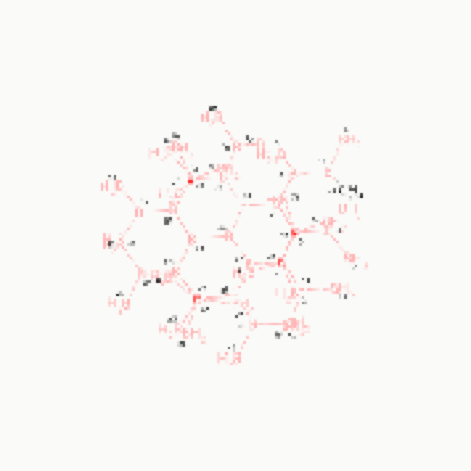 BB(B)B(B(B)B)B(B(B)B(B)C)B(B(B(B)B)B(B)B)B(B(B(B(B)B)B(B)B)B(B(B)B)B(B)B)B(B(B(B)B)B(B)B)B(B(B)B)B(B)B